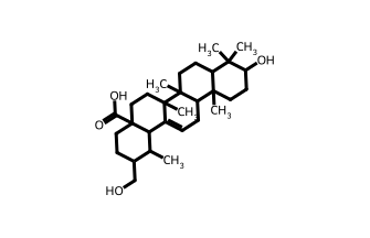 CC1C(CO)CCC2(C(=O)O)CCC3(C)C(=CCC4C5(C)CCC(O)C(C)(C)C5CCC43C)C12